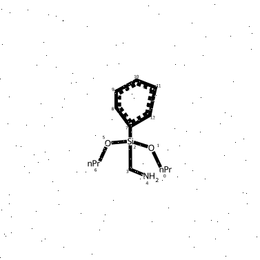 CCCO[Si](CN)(OCCC)c1ccccc1